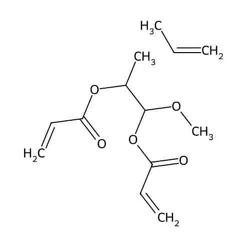 C=CC.C=CC(=O)OC(C)C(OC)OC(=O)C=C